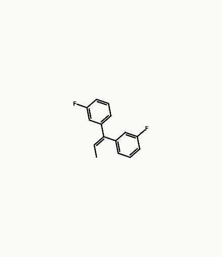 CC=C(c1cccc(F)c1)c1cccc(F)c1